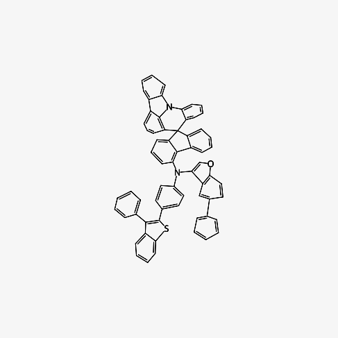 c1ccc(-c2ccc3occ(N(c4ccc(-c5sc6ccccc6c5-c5ccccc5)cc4)c4cccc5c4-c4ccccc4C54c5ccccc5-n5c6ccccc6c6cccc4c65)c3c2)cc1